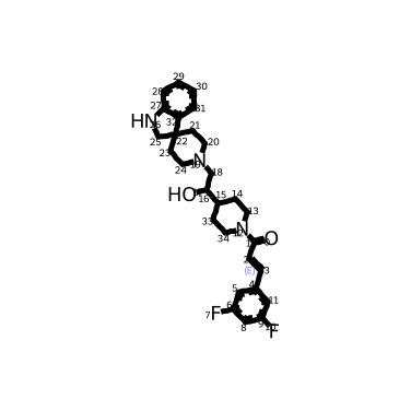 O=C(/C=C/c1cc(F)cc(F)c1)N1CCC(C(O)CN2CCC3(CC2)CNc2ccccc23)CC1